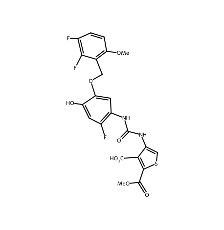 COC(=O)c1scc(NC(=O)Nc2cc(OCc3c(OC)ccc(F)c3F)c(O)cc2F)c1C(=O)O